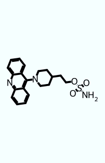 NS(=O)(=O)OCCC1CCN(c2c3ccccc3nc3ccccc23)CC1